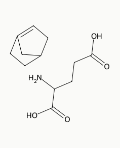 C1=C2CCC(C1)C2.NC(CCC(=O)O)C(=O)O